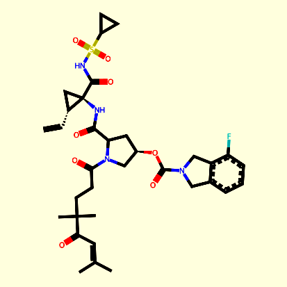 C=C[C@@H]1C[C@]1(NC(=O)C1C[C@@H](OC(=O)N2Cc3cccc(F)c3C2)CN1C(=O)CCC(C)(C)C(=O)C=C(C)C)C(=O)NS(=O)(=O)C1CC1